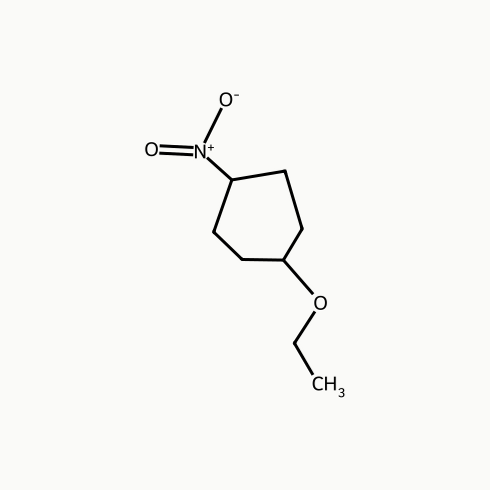 CCOC1CCC([N+](=O)[O-])CC1